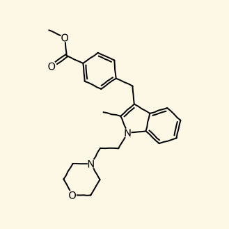 COC(=O)c1ccc(Cc2c(C)n(CCN3CCOCC3)c3ccccc23)cc1